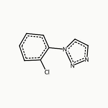 Clc1ccccc1-n1ccnn1